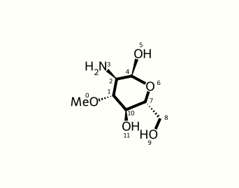 CO[C@@H]1[C@@H](N)[C@@H](O)O[C@H](CO)[C@H]1O